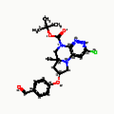 CC(C)(C)OC(=O)N1C[C@H]2C[C@@H](Oc3ccc(C=O)cc3)CN2c2cc(Cl)nnc21